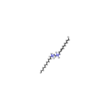 CCCCCCCCCCCC[N+](C)(C)CC[N+](C)(C)CCCCCCCCCCCC